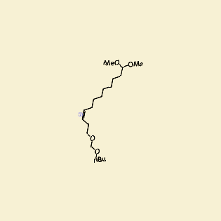 CCCCOCOCC/C=C\CCCCCCCC(OC)OC